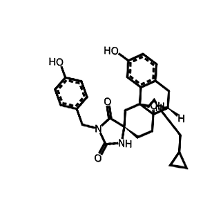 O=C1N[C@]2(CC[C@@]3(O)[C@H]4Cc5ccc(O)cc5[C@@]3(CCN4CC3CC3)C2)C(=O)N1Cc1ccc(O)cc1